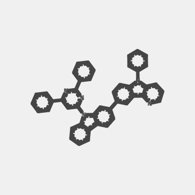 c1ccc(-c2cc(-n3c4ccccc4c4ccc(-c5ccc6c(c5)c5ncccc5n6-c5ccccc5)cc43)nc(-c3ccccc3)n2)cc1